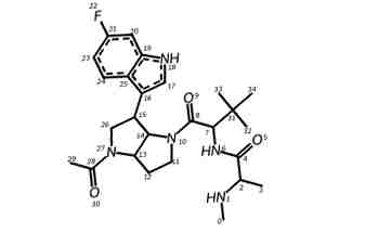 CNC(C)C(=O)NC(C(=O)N1CCC2C1C(c1c[nH]c3cc(F)ccc13)CN2C(C)=O)C(C)(C)C